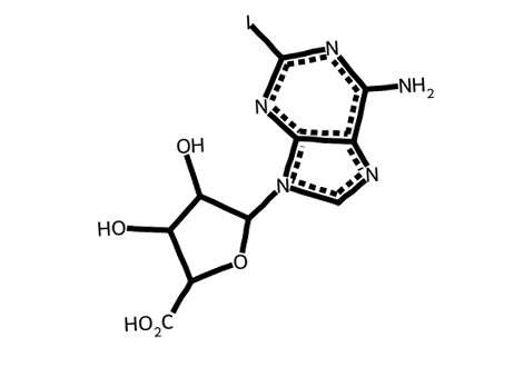 Nc1nc(I)nc2c1ncn2C1OC(C(=O)O)C(O)C1O